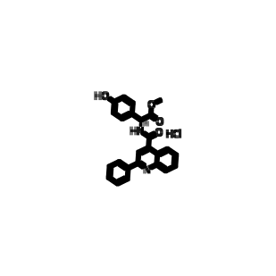 COC(=O)[C@H](NC(=O)c1cc(-c2ccccc2)nc2ccccc12)c1ccc(O)cc1.Cl